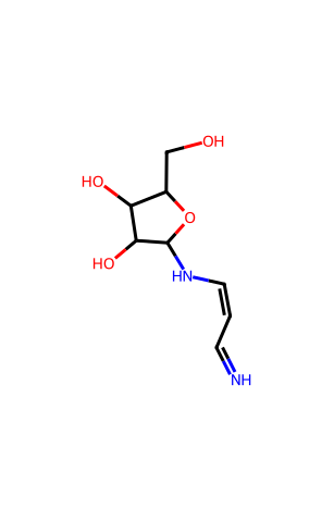 N=C/C=C\NC1OC(CO)C(O)C1O